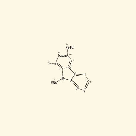 CCCCn1c2ccccc2c2cc(C=O)nc(C)c21